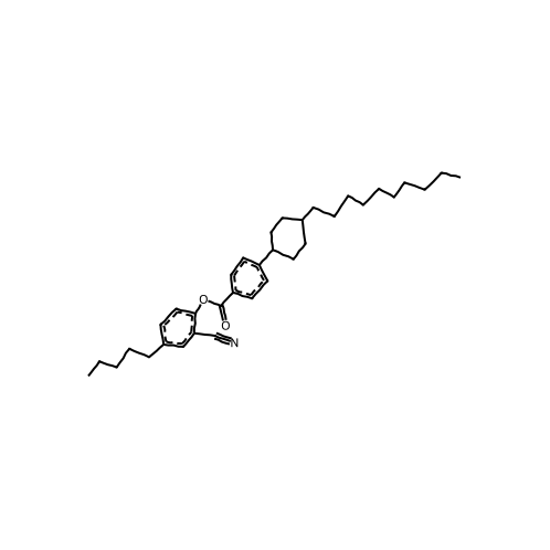 CCCCCCCCCCC1CCC(c2ccc(C(=O)Oc3ccc(CCCCC)cc3C#N)cc2)CC1